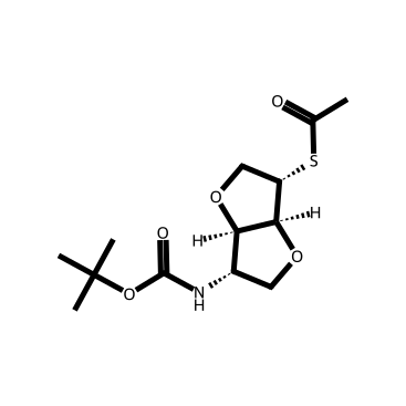 CC(=O)S[C@H]1CO[C@H]2[C@@H]1OC[C@@H]2NC(=O)OC(C)(C)C